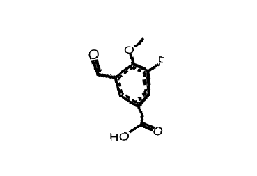 COc1c(F)cc(C(=O)O)cc1C=O